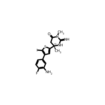 CN1C(=N)N[C@](C)(c2cc(-c3ccc(F)c(N)c3)c(I)s2)CC1=O